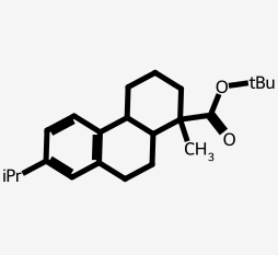 CC(C)c1ccc2c(c1)CCC1C2CCCC1(C)C(=O)OC(C)(C)C